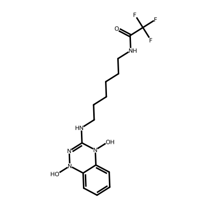 O=C(NCCCCCCNC1=NN(O)c2ccccc2N1O)C(F)(F)F